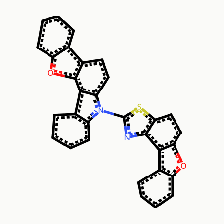 c1ccc2c(c1)oc1c2ccc2c1c1ccccc1n2-c1nc2c(ccc3oc4ccccc4c32)s1